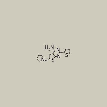 Nc1nc(-c2cccs2)nc2sc(CN3CCCC3)cc12